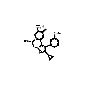 COc1cccc(-c2c(C3CC3)nn3c2-c2cc(=O)c(C(=O)O)cn2[C@H](C(C)(C)C)C3)c1